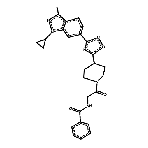 Cc1nn(C2CC2)c2cc(-c3noc(C4CCN(C(=O)CNC(=O)c5ccccc5)CC4)n3)ccc12